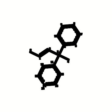 C/C=C/C(C)(c1ccccc1)c1ccncc1